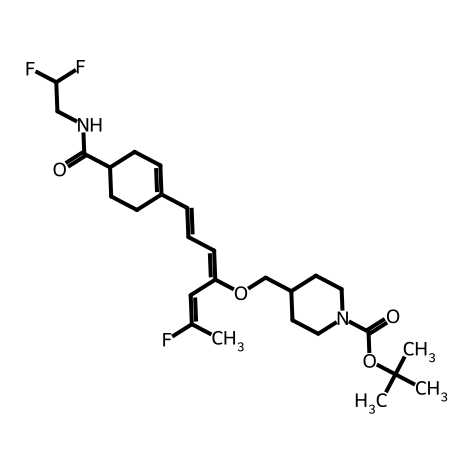 C\C(F)=C/C(=C\C=C\C1=CCC(C(=O)NCC(F)F)CC1)OCC1CCN(C(=O)OC(C)(C)C)CC1